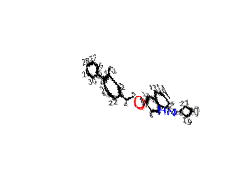 Cc1cc(CCOc2ccc3c(c2)CCCC3NC2CCC2)ccc1-c1ccccc1